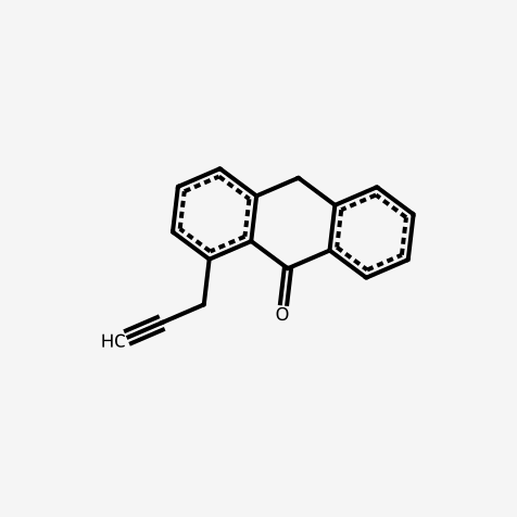 C#CCc1cccc2c1C(=O)c1ccccc1C2